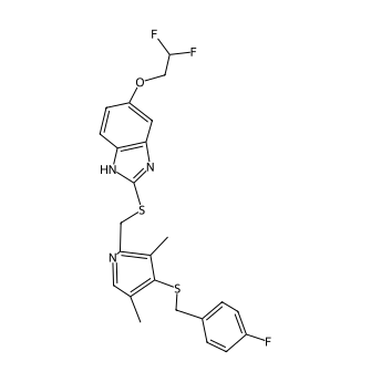 Cc1cnc(CSc2nc3cc(OCC(F)F)ccc3[nH]2)c(C)c1SCc1ccc(F)cc1